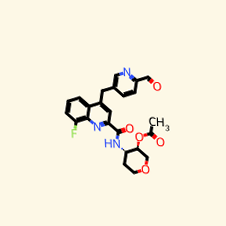 CC(=O)O[C@H]1COCC[C@@H]1NC(=O)c1cc(Cc2ccc(C=O)nc2)c2cccc(F)c2n1